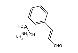 N.N.O=CC=Cc1ccccc1.O=S(=O)(O)O